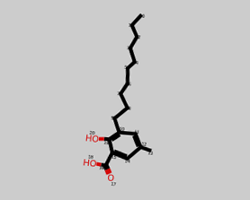 CCCCCCCCCCc1cc(C)cc(C(=O)O)c1O